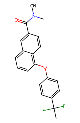 CN(C#N)C(=O)c1ccc2c(Oc3ccc(C(C)(F)F)cc3)cccc2c1